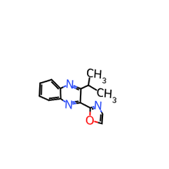 CC(C)c1nc2ccccc2nc1-c1ncco1